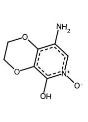 Nc1c[n+]([O-])c(O)c2c1OCCO2